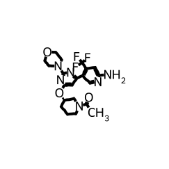 CC(=O)N1CCC[C@@H](Oc2cc(-c3cnc(N)cc3C(F)(F)F)nc(N3CCOCC3)n2)C1